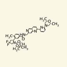 Cc1ccc(C(=O)NCc2cc3nc(-c4cccc(N5C[C@@H](C)O[C@@H](C)C5)n4)ccc3cn2)cc1C1CC(F)(F)CN1C(=O)OC(C)(C)C